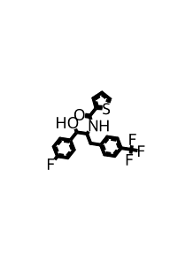 O=C(NC(Cc1ccc(C(F)(F)F)cc1)C(O)c1ccc(F)cc1)c1cccs1